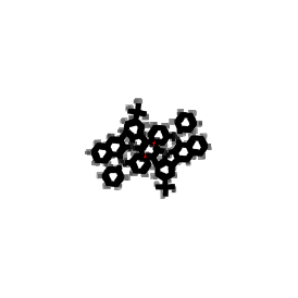 CC(C)(C)c1cc2c3cc4ccccc4c(N(c4ccccc4)c4ccccc4)c3n3c4nc5c6cc(C(C)(C)C)cc7c8cc9ccccc9c(N(c9ccccc9)c9ccccc9)c8n(c5nc4c(c1)c23)c76